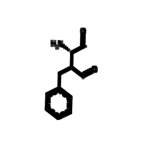 N[C@H]([C]=O)C([C]=O)Cc1ccccc1